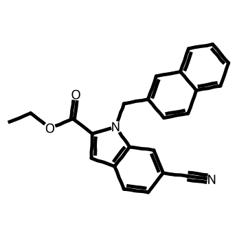 CCOC(=O)c1cc2ccc(C#N)cc2n1Cc1ccc2ccccc2c1